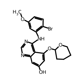 COc1ccc(Br)c(Nc2ncnc3cc(O)cc(OC4CCCCO4)c23)c1